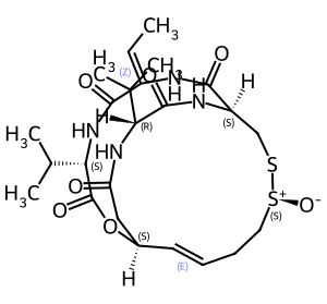 C/C=C1\NC(=O)[C@H]2CS[S@@+]([O-])CC/C=C/[C@H](CC(=O)N[C@H](C(C)C)C(=O)N2)OC(=O)[C@H](C(C)C)NC1=O